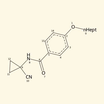 CCCCCCCOc1ccc(C(=O)NC2(C#N)CC2)cc1